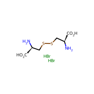 Br.Br.N[C@@H](CSSC[C@H](N)C(=O)O)C(=O)O